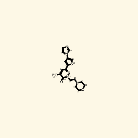 Cc1cc(-c2cc(-n3ccnc3)cs2)nn(CCN2CCOCC2)c1=O